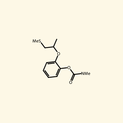 CNC(=O)Oc1ccccc1OC(C)CSC